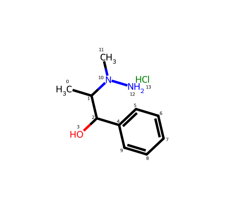 CC(C(O)c1ccccc1)N(C)N.Cl